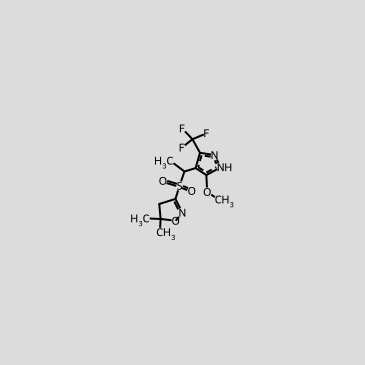 COc1[nH]nc(C(F)(F)F)c1C(C)S(=O)(=O)C1=NOC(C)(C)C1